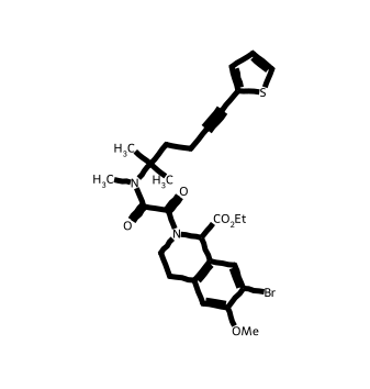 CCOC(=O)C1c2cc(Br)c(OC)cc2CCN1C(=O)C(=O)N(C)C(C)(C)CCC#Cc1cccs1